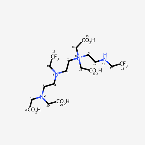 O=C(O)CN(CCN(CC[N+](CCNCC(F)(F)F)(CC(=O)O)CC(=O)O)CC(F)(F)F)CC(=O)O